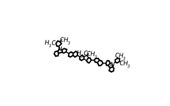 Cc1cc(C)cc(-n2c3ccccc3c3cc(-c4ccc5cc(-c6ccc7c(c6)C(C)(C)c6cc(-c8ccc9cc(-c%10ccc%11c(c%10)c%10ccccc%10n%11-c%10cc(C)cc(C)c%10)ccc9c8)ccc6-7)ccc5c4)ccc32)c1